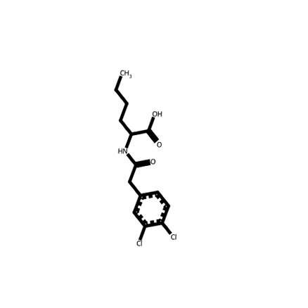 CCCCC(NC(=O)Cc1ccc(Cl)c(Cl)c1)C(=O)O